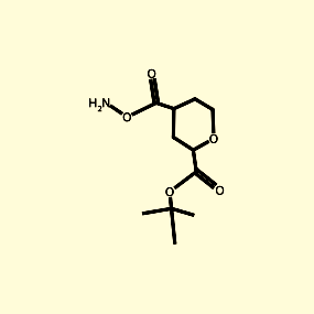 CC(C)(C)OC(=O)C1CC(C(=O)ON)CCO1